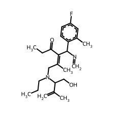 C=NC(/C(C(=O)CC)=C(\C)CN(CCC)C(CO)C(=C)C)c1ccc(F)cc1C